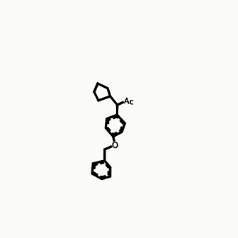 CC(=O)C(c1ccc(OCc2ccccc2)cc1)C1CCCC1